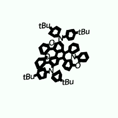 CC(C)(C)c1ccc(N(c2ccc(C(C)(C)C)cc2)c2cc3c(c4c2oc2ccccc24)-c2c(cc(N(c4ccc(C(C)(C)C)cc4)c4ccc(C(C)(C)C)cc4)c4c2oc2ccccc24)C2c4cccc5c4N(c4ccccc4O5)c4ccccc4C32)cc1